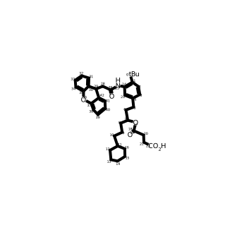 CC(C)(C)c1ccc(CCC(CCCC2CCCCC2)OC(=O)CCC(=O)O)cc1NC(=O)CC1c2ccccc2Oc2ccccc21